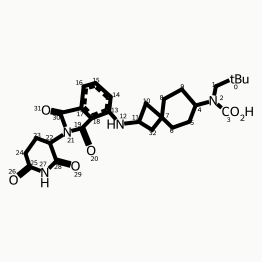 CC(C)(C)CN(C(=O)O)C1CCC2(CC1)CC(Nc1cccc3c1C(=O)N(C1CCC(=O)NC1=O)C3=O)C2